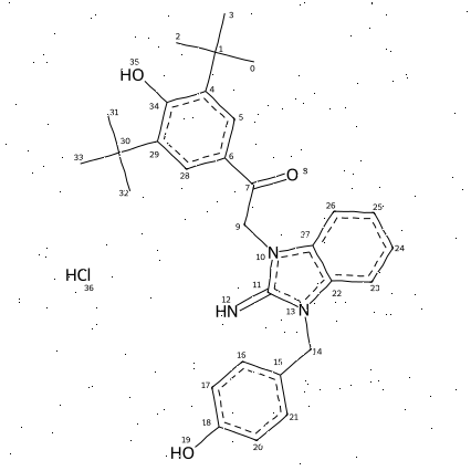 CC(C)(C)c1cc(C(=O)Cn2c(=N)n(Cc3ccc(O)cc3)c3ccccc32)cc(C(C)(C)C)c1O.Cl